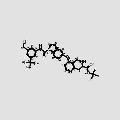 CC(C)(C)OC(=O)C1Cc2nccc(Oc3ccc4c(ccn4C(=O)Nc4cc(CCl)cc(C(F)(F)F)c4)c3)c2CN1